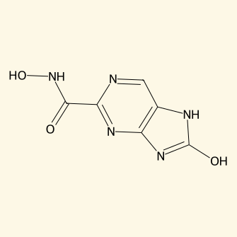 O=C(NO)c1ncc2[nH]c(O)nc2n1